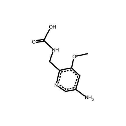 COc1cc(N)cnc1CNC(=O)O